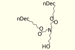 CCCCCCCCCCCCCCCOC(=O)CCN(CCCCCO)CCC(=O)OCCCCCCCCCCCCCCC